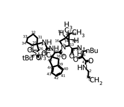 C=CCNC(=O)C(=O)C(CCCC)NC(=O)[C@@H]1[C@@H]2[C@H](CN1C(=O)[C@@H](NC(=O)NC1(CS(=O)(=O)C(C)(C)C)CCCCC1)C1(C)Cc3ccccc3C1)C2(C)C